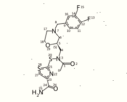 CC(=O)N(C[C@@H]1CN(Cc2ccc(F)c(F)c2)CCO1)Sc1nc(C(N)=O)cs1